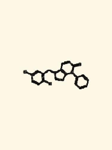 O=c1ccc2c(ccn2Cc2cc(Cl)ccc2Cl)n1-c1ccccc1